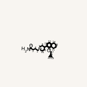 NC(=O)CCCN1CCC(c2ccc3c(c2OCC2CC2)CCCC3)CC1